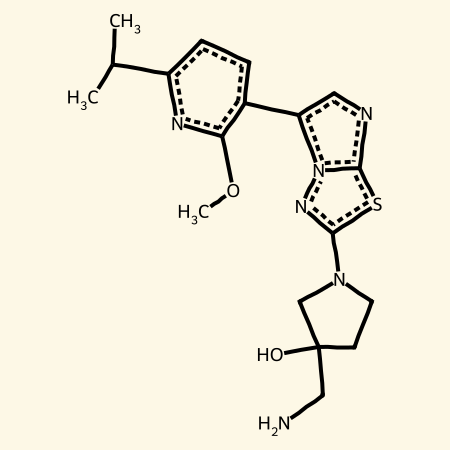 COc1nc(C(C)C)ccc1-c1cnc2sc(N3CCC(O)(CN)C3)nn12